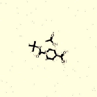 CC(=O)O.CC(C)(C)OC(=O)N1CCC(C(=O)O)CC1